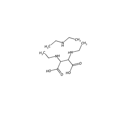 CCNC(C(=O)O)C(NCC)C(=O)O.CCNCC